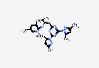 Cc1cc(C)/c(=N\C(=C/c2nc(-n3nc(C)cc3C)nc(-n3nc(C)cc3C)n2)C(C)C)n(C)c1